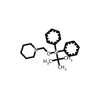 CC(C)(C)[Si](OCN1CCCCC1)(c1ccccc1)c1ccccc1